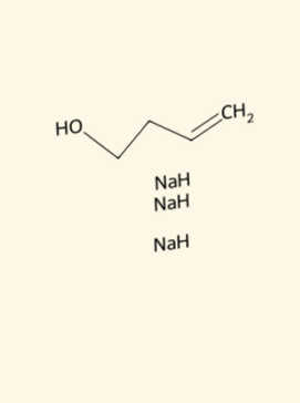 C=CCCO.[NaH].[NaH].[NaH]